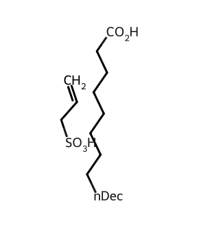 C=CCS(=O)(=O)O.CCCCCCCCCCCCCCCCCC(=O)O